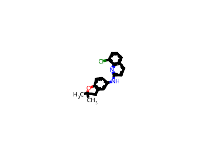 CC1(C)Cc2cc(Nc3ccc4cccc(Cl)c4n3)ccc2O1